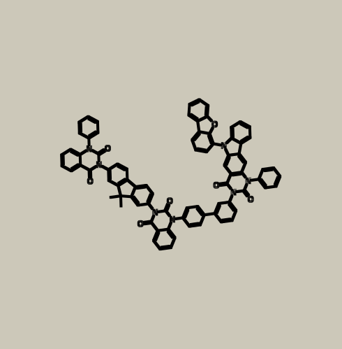 CC1(C)c2cc(-n3c(=O)c4ccccc4n(-c4ccccc4)c3=O)ccc2-c2ccc(-n3c(=O)c4ccccc4n(-c4ccc(-c5cccc(-n6c(=O)c7cc8c(cc7n(-c7ccccc7)c6=O)c6ccccc6n8-c6cccc7c6oc6ccccc67)c5)cc4)c3=O)cc21